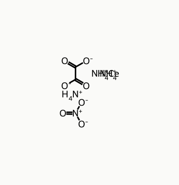 O=C([O-])C(=O)[O-].O=[N+]([O-])[O-].[Ce].[NH4+].[NH4+].[NH4+]